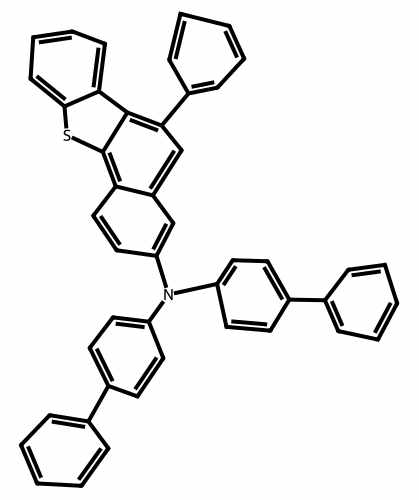 c1ccc(-c2ccc(N(c3ccc(-c4ccccc4)cc3)c3ccc4c(c3)cc(-c3ccccc3)c3c5ccccc5sc43)cc2)cc1